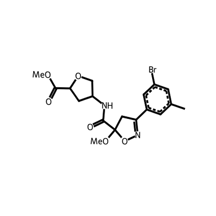 COC(=O)C1CC(NC(=O)C2(OC)CC(c3cc(C)cc(Br)c3)=NO2)CO1